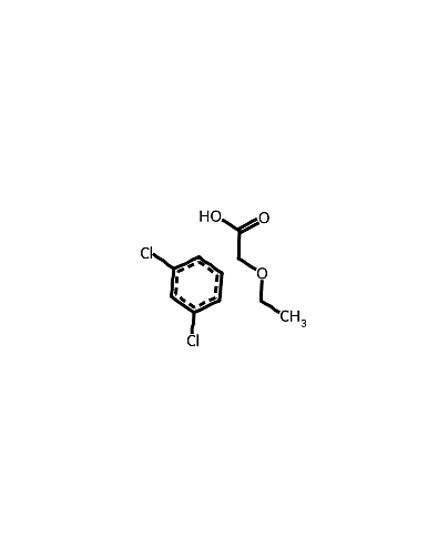 CCOCC(=O)O.Clc1cccc(Cl)c1